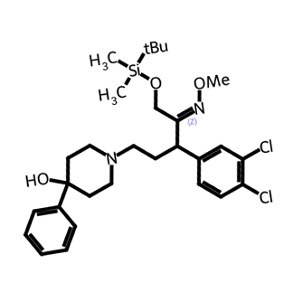 CO/N=C(\CO[Si](C)(C)C(C)(C)C)C(CCN1CCC(O)(c2ccccc2)CC1)c1ccc(Cl)c(Cl)c1